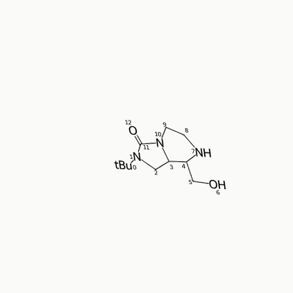 CC(C)(C)N1CC2C(CO)NCCN2C1=O